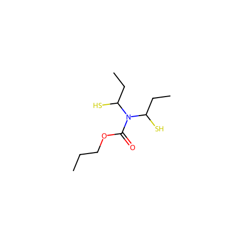 CCCOC(=O)N(C(S)CC)C(S)CC